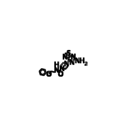 Nc1nc(N2CCN(C(=O)NCCOc3ccccc3)CC2)c2ncsc2n1